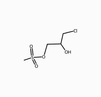 CS(=O)(=O)OCC(O)CCl